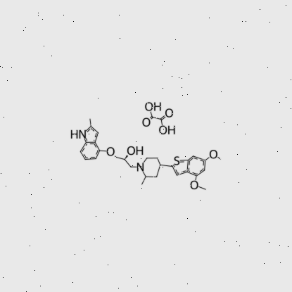 COc1cc(OC)c2cc(C3CCN(C[C@H](O)COc4cccc5[nH]c(C)cc45)C(C)C3)sc2c1.O=C(O)C(=O)O